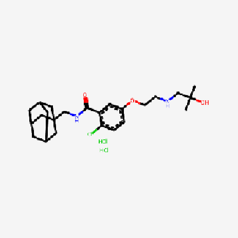 CC(C)(O)CNCCOc1ccc(Cl)c(C(=O)NCC23CC4CC(CC(C4)C2)C3)c1.Cl.Cl